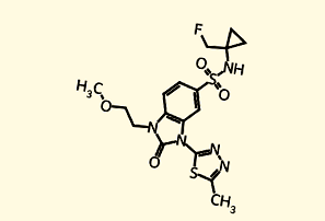 COCCn1c(=O)n(-c2nnc(C)s2)c2cc(S(=O)(=O)NC3(CF)CC3)ccc21